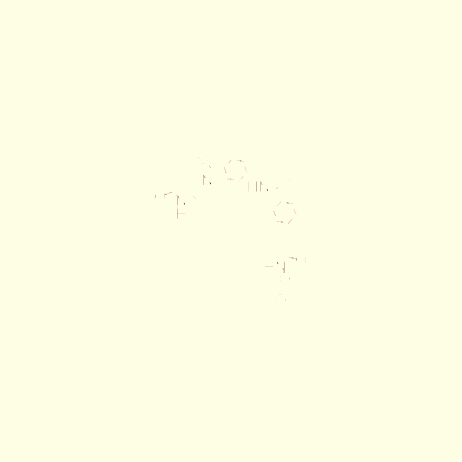 O=C(CCc1ccc(C(=O)NCc2ccc3c(c2)CN(C2CCC(=O)NC2=O)C3=O)cc1)NOC1CCCCO1